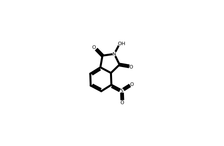 O=C1C2=CC=CC(=S(=O)=O)C2C(=O)N1O